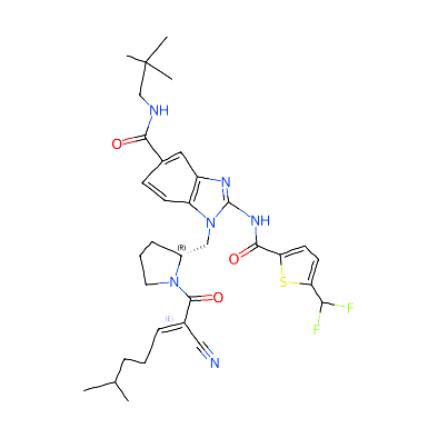 CC(C)CC/C=C(\C#N)C(=O)N1CCC[C@@H]1Cn1c(NC(=O)c2ccc(C(F)F)s2)nc2cc(C(=O)NCC(C)(C)C)ccc21